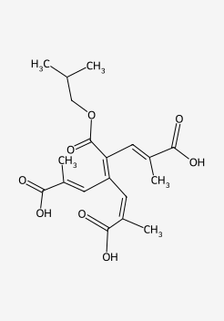 CC(=CC(C=C(C)C(=O)O)=C(C=C(C)C(=O)O)C(=O)OCC(C)C)C(=O)O